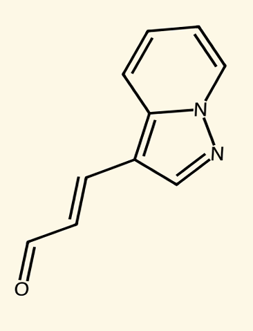 O=CC=Cc1cnn2ccccc12